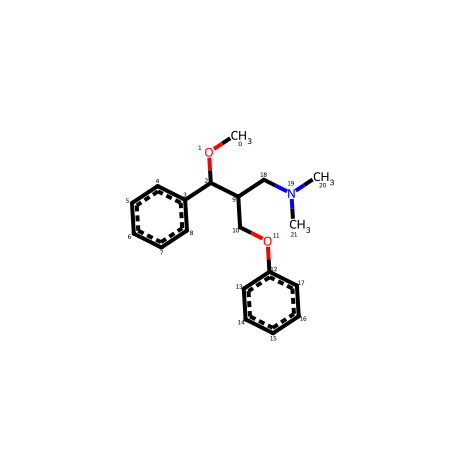 COC(c1ccccc1)C(COc1ccccc1)CN(C)C